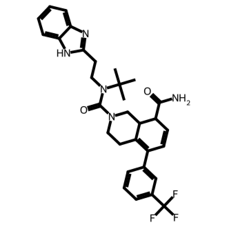 CC(C)(C)N(CCc1nc2ccccc2[nH]1)C(=O)N1CCC2=C(c3cccc(C(F)(F)F)c3)C=CC(C(N)=O)C2C1